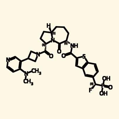 CN(C)c1ccncc1C1CN(C(=O)[C@@H]2CC[C@@H]3CCC[C@H](NC(=O)c4cc5cc([C@H](F)P(=O)(O)O)ccc5s4)C(=O)N32)C1